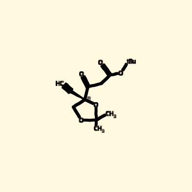 C#C[C@]1(C(=O)CC(=O)OC(C)(C)C)COC(C)(C)O1